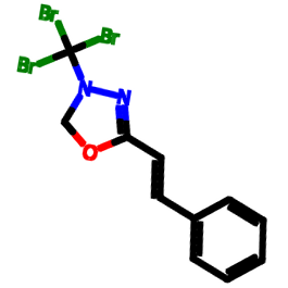 BrC(Br)(Br)N1COC(C=Cc2ccccc2)=N1